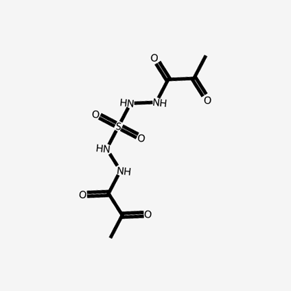 CC(=O)C(=O)NNS(=O)(=O)NNC(=O)C(C)=O